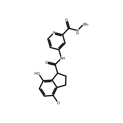 CC(C)(C)NC(=O)c1cc(NC(=O)C2CCc3c(Cl)ccc(O)c32)ccn1